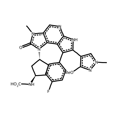 COc1nn(C)cc1-c1[nH]c2ncc3c(c2c1-c1ccc(F)cc1)n([C@@H]1CC[C@@H](NC(=O)O)C1)c(=O)n3C